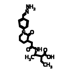 CCC(C(=O)O)C(C)NC(=O)CC1CCCN(c2ccc(C=NN)cc2)C1=O